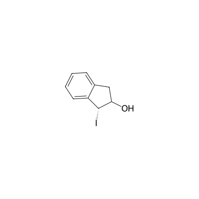 OC1Cc2ccccc2[C@H]1I